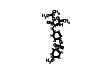 CC(=O)N[C@@H](Cc1ccc(OS(=O)(=O)c2ccc(C)cc2)cc1)C(=O)OC(C)C